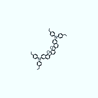 CCc1ccc(N(c2ccc(CC)cc2)c2ccc3c(ccc4c5ccc6c7ccc8cc(N(c9ccc(CC)cc9)c9ccc(CC)cc9)ccc8c7oc6c5oc34)c2)cc1